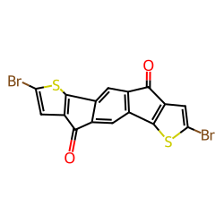 O=c1c2cc3c(cc2c2sc(Br)cc12)c(=O)c1cc(Br)sc13